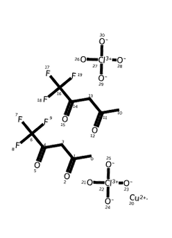 CC(=O)CC(=O)C(F)(F)F.CC(=O)CC(=O)C(F)(F)F.[Cu+2].[O-][Cl+3]([O-])([O-])[O-].[O-][Cl+3]([O-])([O-])[O-]